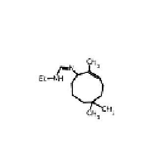 CCN/C=N\C1CCCC(C)(C)CC/C=C\1C